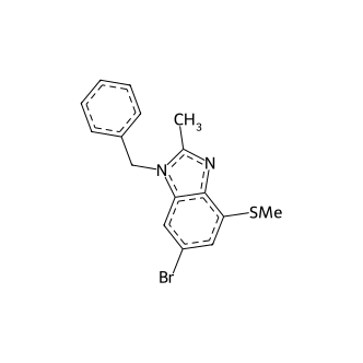 CSc1cc(Br)cc2c1nc(C)n2Cc1ccccc1